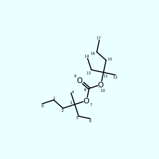 CCCC(C)(CC)OC(=O)OC(C)(CC)CCC